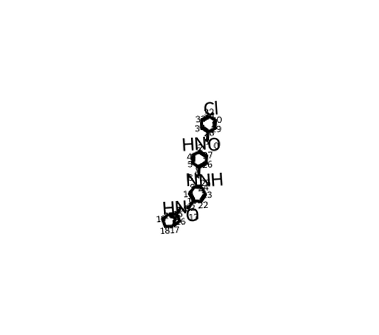 O=C(Nc1ccc(-c2nc3cc(C(=O)NC4CC5CCC4C5)ccc3[nH]2)cc1)c1ccc(Cl)cc1